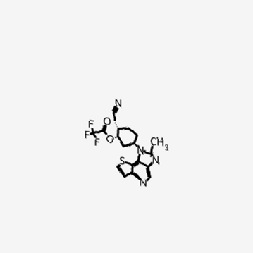 Cc1nc2cnc3ccsc3c2n1[C@@H]1CC[C@@H](CC#N)[C@@H](OC(=O)C(F)(F)F)C1